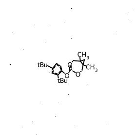 CC(C)(C)c1ccc(OP2OCC3(C)CC3(C)CO2)c(C(C)(C)C)c1